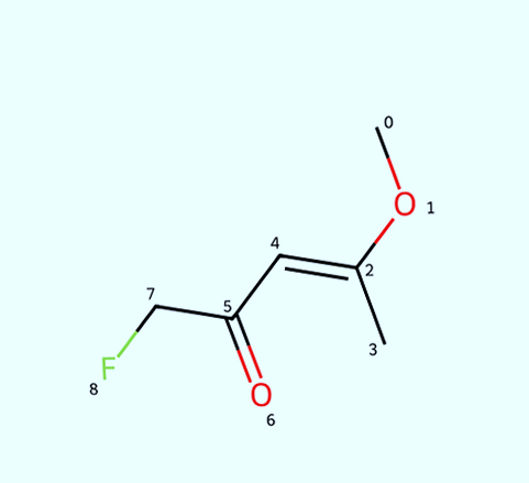 COC(C)=CC(=O)CF